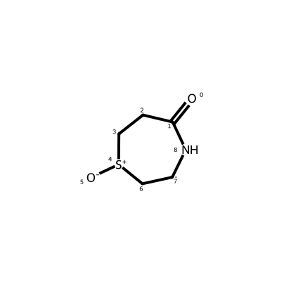 O=C1CC[S+]([O-])C[CH]N1